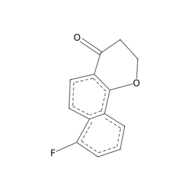 O=C1CCOc2c1ccc1c(F)cccc21